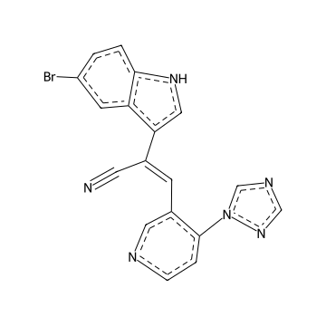 N#CC(=Cc1cnccc1-n1cncn1)c1c[nH]c2ccc(Br)cc12